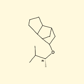 CC(C)[C@@H](C)OC1CC2CC1C1CCCC21